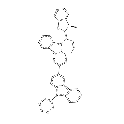 C/C=C\C(=C1\Oc2ccccc2[C@H]1C)n1c2ccccc2c2cc(-c3ccc4c(c3)c3ccccc3n4-c3ccccc3)ccc21